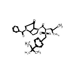 CC(C)C[C@H](C(=O)N1CCC2C1C(=O)CN2C(=O)c1ccccc1)S(=O)(=O)Cc1ccc(C(C)(C)C)cc1